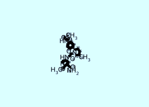 COc1ncc(NC(=O)C(=O)N2C[C@@H](C)CC[C@@H]2c2ccc(NS(C)(=O)=O)cc2)cc1C(N)=O